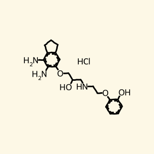 Cl.Nc1c(OCC(O)CNCCOc2ccccc2O)cc2c(c1N)CCC2